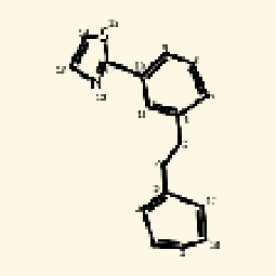 c1ccc(CCc2cccc(-c3nccs3)c2)cc1